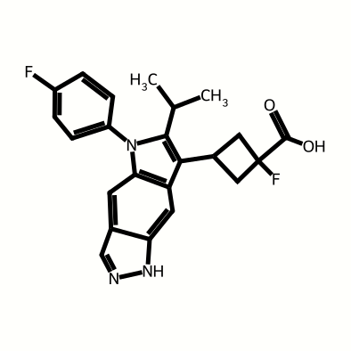 CC(C)c1c(C2CC(F)(C(=O)O)C2)c2cc3[nH]ncc3cc2n1-c1ccc(F)cc1